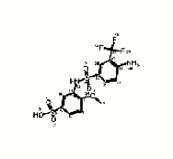 COc1ccc(S(=O)(=O)O)cc1NS(=O)(=O)c1ccc(N)c(C(F)(F)F)c1